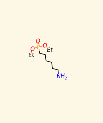 CCOP(=O)(CCCCCCN)OCC